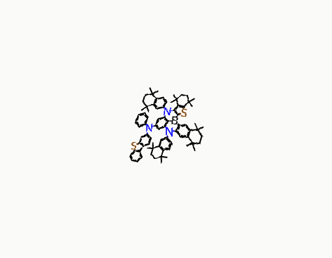 CC1(C)CCC(C)(C)c2cc(N3c4cc5c(cc4B4c6sc7c(c6N(c6ccc8c(c6)C(C)(C)CCC8(C)C)c6cc(N(c8ccccc8)c8ccc9c(c8)sc8ccccc89)cc3c64)C(C)(C)CCC7(C)C)C(C)(C)CCC5(C)C)ccc21